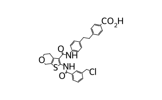 O=C(O)c1ccc(CCc2ccc(NC(=O)c3c(NC(=O)c4cccc(CCl)c4)sc4c3CCOC4)cc2)cc1